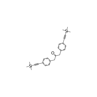 C[Si](C)(C)C#Cc1ccc(CC(=O)Cc2ccc(C#C[Si](C)(C)C)cc2)cc1